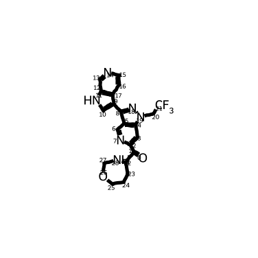 O=C(c1cc2c(cn1)c(-c1c[nH]c3cnccc13)nn2CC(F)(F)F)C1CCCOCN1